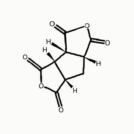 O=C1OC(=O)[C@H]2C[C@H]3C(=O)OC(=O)[C@H]3[C@@H]12